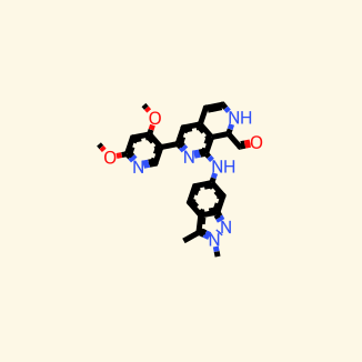 COc1cc(OC)c(-c2cc3c(c(Nc4ccc5c(C)n(C)nc5c4)n2)C(C=O)NC=C3)cn1